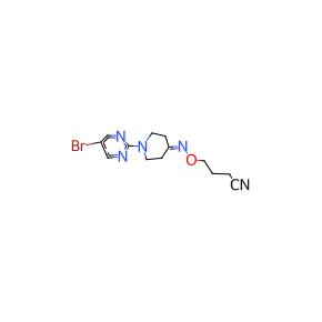 N#CCCCON=C1CCN(c2ncc(Br)cn2)CC1